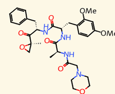 COc1ccc(C[C@H](NC(=O)[C@H](C)NC(=O)CN2CCOCC2)C(=O)N[C@@H](Cc2ccccc2)C(=O)[C@@]2(C)CO2)c(OC)c1